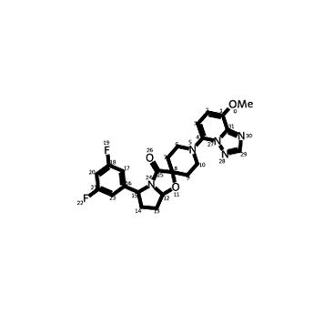 COc1ccc(N2CCC3(CC2)OC2CCC(c4cc(F)cc(F)c4)N2C3=O)n2ncnc12